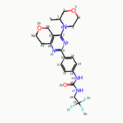 CC1COCCN1c1nc(-c2ccc(NC(=O)NCC(F)(F)F)cc2)nc2c1COCC2